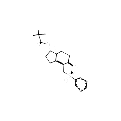 CC(C)(C)C(=O)O[C@H]1CCC2=C(CS(=O)(=O)c3ccccc3)C(=O)CC[C@@]21C